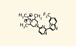 CC1CN(c2ccnc(-c3cnc4ccc(C(F)(F)F)cn34)n2)CC(C)N1S(C)(=O)=O